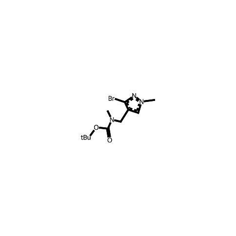 CN(Cc1cn(C)nc1Br)C(=O)OC(C)(C)C